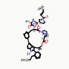 CCC/C=C/C(=O)N1CC[C@H](C(=O)N(C)[C@H](C(=O)N[C@H]2Cc3cccc(c3)-c3ccc4c(c3)c(c(-c3ccccc3CCOC)n4CC)CC(C)(C)COC(=O)[C@@H]3CCCN(N3)C2=O)C(C)C)C1